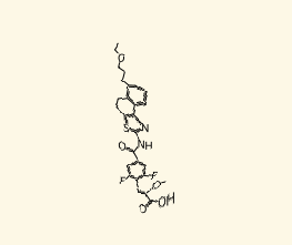 CCOCCCc1cccc2c1CCc1sc(NC(=O)c3cc(F)c(/C=C(\OC)C(=O)O)c(F)c3)nc1-2